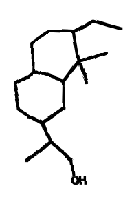 CCC1CCC2CCC(C(C)CO)CC2C1(C)C